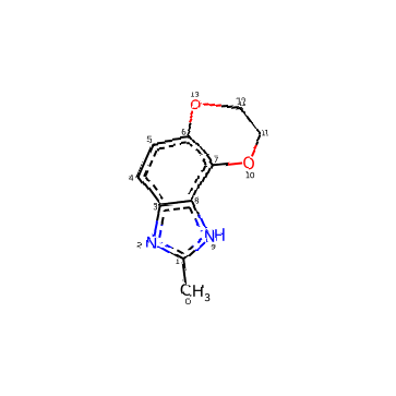 Cc1nc2ccc3c(c2[nH]1)OCCO3